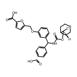 O=C(NC(c1ccccc1)c1cccc(OCc2ccc(C(=O)O)o2)c1)O[C@H]1CN2CCC1CC2.O=CO